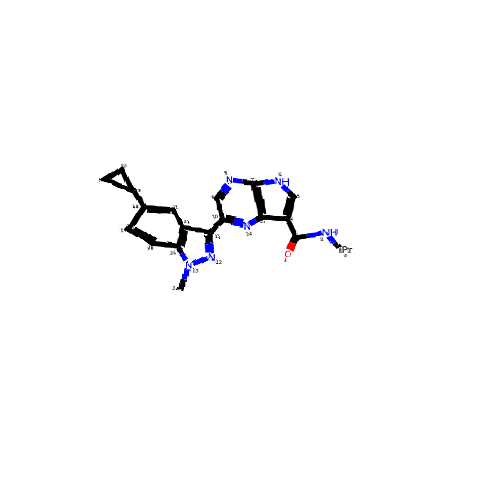 CC(C)NC(=O)c1c[nH]c2ncc(-c3nn(C)c4ccc(C5CC5)cc34)nc12